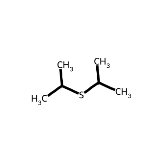 C[C](C)SC(C)C